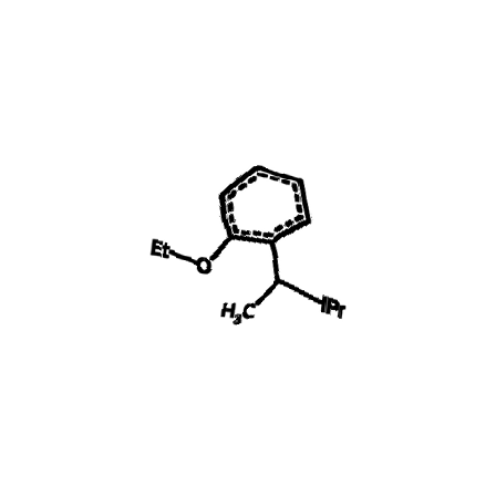 CCOc1ccccc1C(C)C(C)C